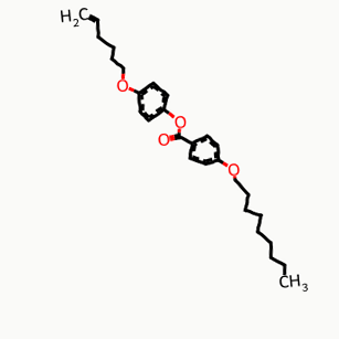 C=CCCCCOc1ccc(OC(=O)c2ccc(OCCCCCCCCC)cc2)cc1